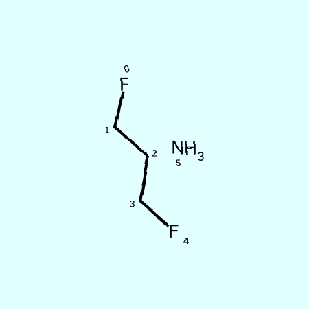 FCCCF.N